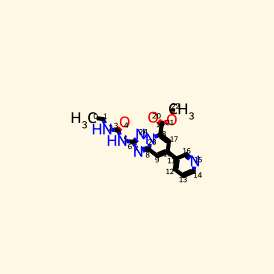 CCNC(=O)Nc1nc2cc(-c3cccnc3)cc(C(=O)OC)n2n1